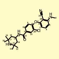 CNc1cccc(Oc2ccc(C(=O)NC3CC(C)(C)NC(C)(C)C3)cc2Cl)c1C#N